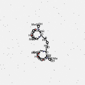 CO[C@H]1C[C@@H](C)C/C(C)=C/[C@@H](CCCCC(=O)NCc2ccc(CNC(=O)OCCCC3/C=C(\C)C[C@H](C)C[C@H](OC)[C@H]4C[C@@](O)(C(=O)C(=O)N5CCCC[C@H]5C(=O)O[C@H](/C(C)=C/[C@@H]5CC[C@@H](O)[C@H](OC)C5)[C@H](N)[C@@H](O)CC3=O)[C@H](C)C[C@@H]4OC)cc2)C(=O)C[C@H](O)[C@@H](C)[C@@H](/C(C)=C/[C@@H]2CC[C@@H](O)[C@H](OC)C2)OC(=O)[C@@H]2CCCCN2C(=O)C(=O)[C@]2(O)OC1[C@@H](OC)C[C@H]2C